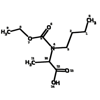 CCCCN(C(=O)OCC)C(C)C(=O)O